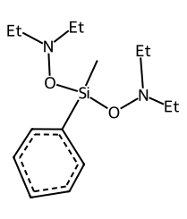 CCN(CC)O[Si](C)(ON(CC)CC)c1ccccc1